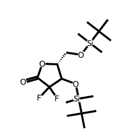 CC(C)(C)[Si](C)(C)OC[C@H]1OC(=O)C(F)(F)C1O[Si](C)(C)C(C)(C)C